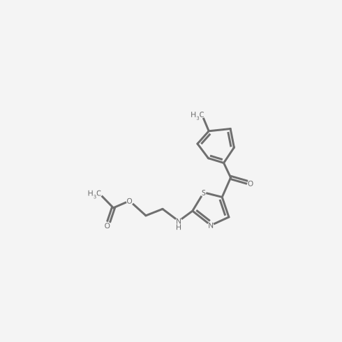 CC(=O)OCCNc1ncc(C(=O)c2ccc(C)cc2)s1